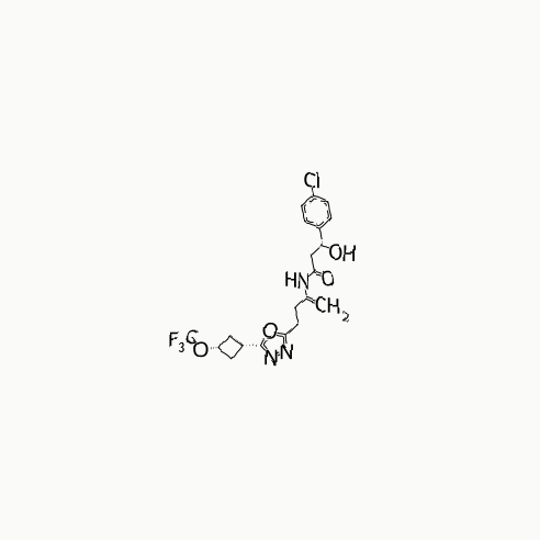 C=C(CCc1nnc([C@H]2C[C@@H](OC(F)(F)F)C2)o1)NC(=O)CC(O)c1ccc(Cl)cc1